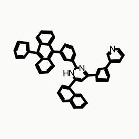 C1=C(c2cccc3ccccc23)NC(c2cccc(-c3c4ccccc4c(-c4ccccc4)c4ccccc34)c2)N=C1c1cccc(-c2cccnc2)c1